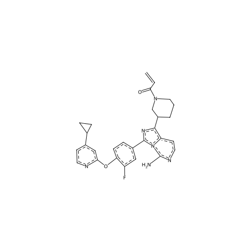 C=CC(=O)N1CCCC(c2nc(-c3ccc(Oc4cc(C5CC5)ccn4)c(F)c3)n3c(N)nccc23)C1